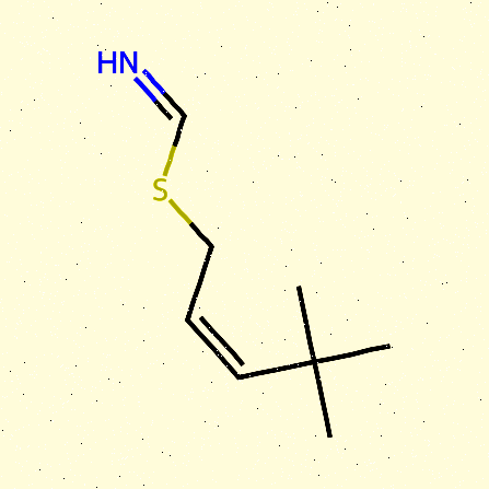 CC(C)(C)/C=C\CSC=N